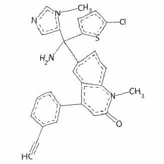 C#Cc1cccc(-c2cc(=O)n(C)c3ccc(C(N)(c4ccc(Cl)s4)c4cncn4C)cc23)c1